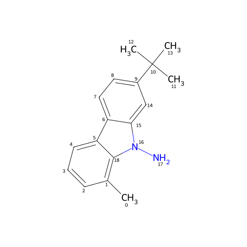 Cc1cccc2c3ccc(C(C)(C)C)cc3n(N)c12